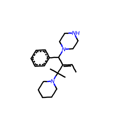 CC=C(C(c1ccccc1)N1CCNCC1)C(C)(C)N1CCCCC1